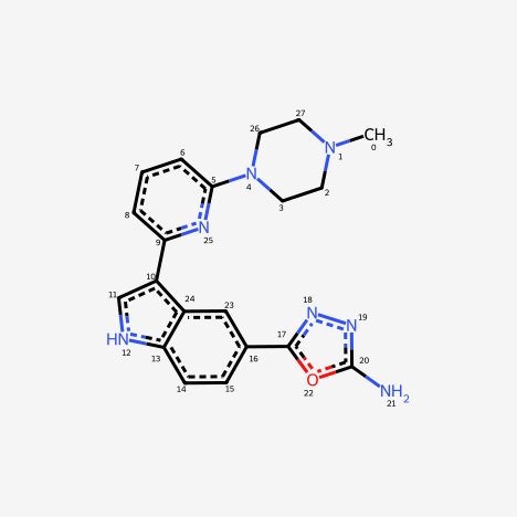 CN1CCN(c2cccc(-c3c[nH]c4ccc(-c5nnc(N)o5)cc34)n2)CC1